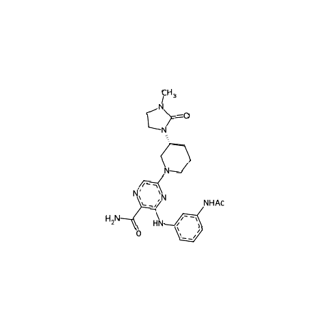 CC(=O)Nc1cccc(Nc2nc(N3CCC[C@@H](N4CCN(C)C4=O)C3)cnc2C(N)=O)c1